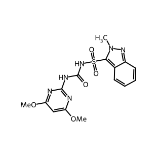 COc1cc(OC)nc(NC(=O)NS(=O)(=O)c2c3ccccc3nn2C)n1